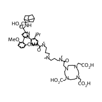 COc1cccc(OC)c1-c1cc(C(=O)NC2(C(=O)O)C3CC4CC(C3)CC2C4)nn1-c1ccc(C(=O)N(C)CCCN(C)CCCN(C)C(=O)CN2CCN(CC(=O)O)CCN(CC(=O)O)CCN(CC(=O)O)CC2)cc1C(C)C